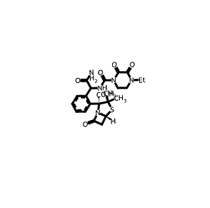 CCN1CCN(C(=O)NC(C(N)=O)c2ccccc2[C@]2(C(=O)O)N3C(=O)C[C@H]3SC2(C)C)C(=O)C1=O